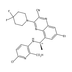 CCc1cc([C@@H](C)Nc2ccc(Cl)nc2C(=O)O)c2nc(N3CCC(F)(F)CC3)c(C#N)nc2c1